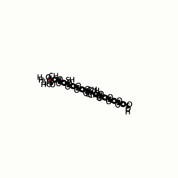 CC(C)(C)c1ccc(S(=O)(=O)c2ccc(S(=O)(=O)c3ccc(S(=O)(=O)c4ccc(S(=O)(=O)C(C)(C)C(C)(C)c5ccc(S(=O)(=O)c6ccc(S(=O)(=O)c7ccc(S(=O)(=O)c8ccc([SH](=O)=O)cc8)cc7)cc6)cc5)cc4)cc3)c(S)c2)cc1S(=O)(=O)O